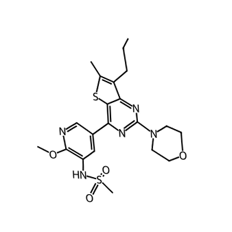 CCCc1c(C)sc2c(-c3cnc(OC)c(NS(C)(=O)=O)c3)nc(N3CCOCC3)nc12